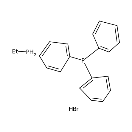 Br.CCP.c1ccc(P(c2ccccc2)c2ccccc2)cc1